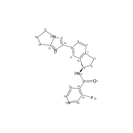 O=C(N[C@@H]1CCc2ccc(-c3cn4c(n3)CCC4)cc21)c1ccncc1F